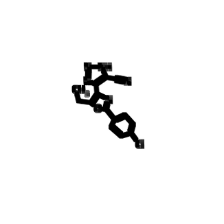 CCc1oc(-c2ccc(Cl)cc2)nc1-c1nn[nH]c1C#N